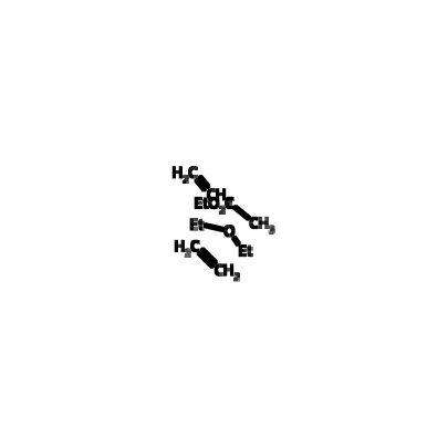 C=C.C=C.CCOC(C)=O.CCOCC